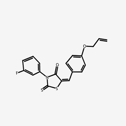 C=CCOc1ccc(C=C2SC(=S)N(c3cccc(F)c3)C2=O)cc1